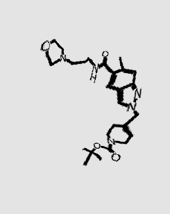 Cc1cc2nn(CC3CCN(C(=O)OC(C)(C)C)CC3)cc2cc1C(=O)NCCN1CCOCC1